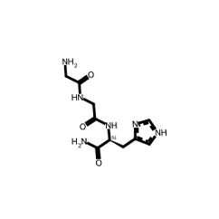 NCC(=O)NCC(=O)N[C@@H](Cc1c[nH]cn1)C(N)=O